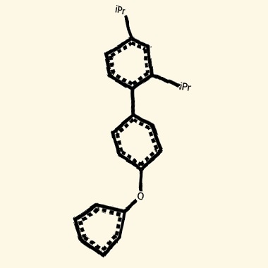 CC(C)c1[c]c(C(C)C)c(-c2ccc(Oc3ccccc3)cc2)cc1